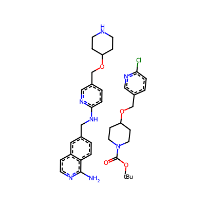 CC(C)(C)OC(=O)N1CCC(OCc2ccc(Cl)nc2)CC1.Nc1nccc2cc(CNc3ccc(COC4CCNCC4)cn3)ccc12